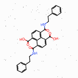 O=C(O)c1ccc(C(=O)NCCc2ccccc2)c2c(C(=O)O)ccc(C(=O)NCCc3ccccc3)c12